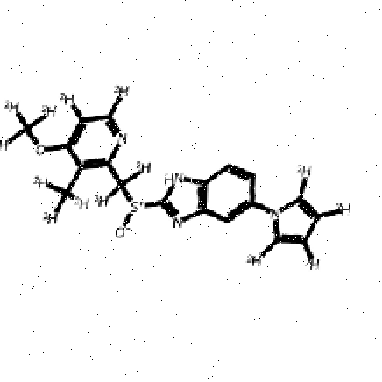 [2H]c1nc(C([2H])([2H])[S+]([O-])c2nc3cc(-n4c([2H])c([2H])c([2H])c4[2H])ccc3[nH]2)c(C([2H])([2H])[2H])c(OC([2H])([2H])[2H])c1[2H]